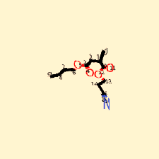 C=C(CC(=O)OCCCC)C(=O)OCCC#N